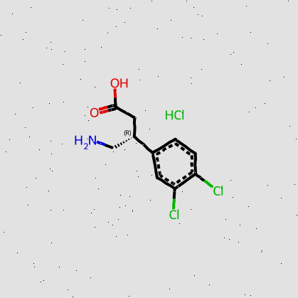 Cl.NC[C@H](CC(=O)O)c1ccc(Cl)c(Cl)c1